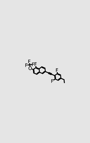 CCc1cc(F)c(C#Cc2ccc3c(F)c(OC(F)(F)F)ccc3c2)c(F)c1